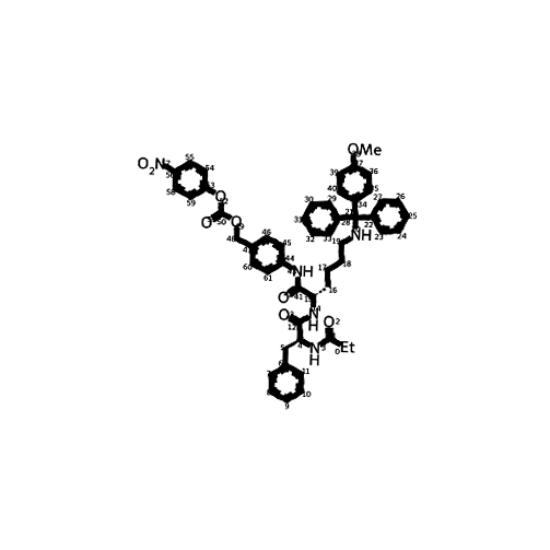 CCC(=O)N[C@@H](Cc1ccccc1)C(=O)N[C@@H](CCCCNC(c1ccccc1)(c1ccccc1)c1ccc(OC)cc1)C(=O)Nc1ccc(COC(=O)Oc2ccc([N+](=O)[O-])cc2)cc1